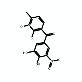 Cc1ccc(C(=O)c2cc(O)c(O)c([N+](=O)[O-])c2)c(Br)[n+]1[O-]